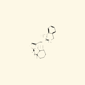 C1=C(CSC2=NCc3ccccc3N2)N2C(=N[C@H]3CCCC[C@@H]32)S1